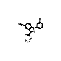 COC(=O)c1nn(-c2cccc(Br)c2)c2ccc(C#N)cc12